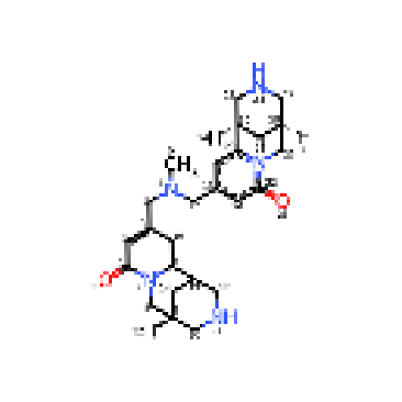 CN(CC1=CC(=O)N2C[C@H]3CNCC(C3)C2C1)Cc1cc2n(c(=O)c1)C[C@@H]1CNC[C@H]2C1